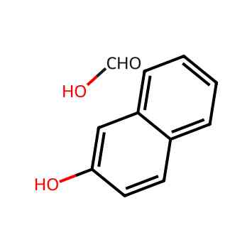 O=CO.Oc1ccc2ccccc2c1